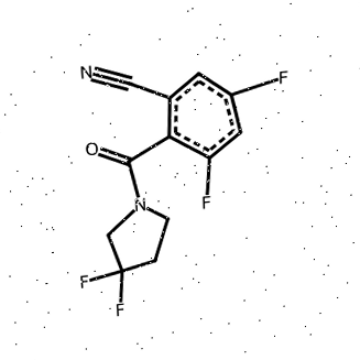 N#Cc1cc(F)cc(F)c1C(=O)N1CCC(F)(F)C1